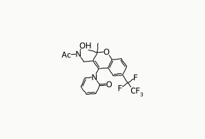 CC(=O)N(O)CC1=C(n2ccccc2=O)c2cc(C(F)(F)C(F)(F)F)ccc2OC1(C)C